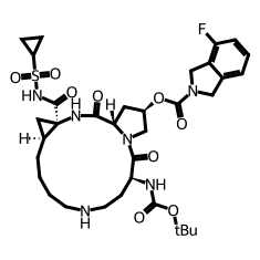 CC(C)(C)OC(=O)N[C@H]1CCNCCCC[C@H]2C[C@@]2(C(=O)NS(=O)(=O)C2CC2)NC(=O)[C@@H]2C[C@@H](OC(=O)N3Cc4cccc(F)c4C3)CN2C1=O